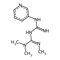 CN=C(NC(=N)Nc1cccnc1)N(C)C